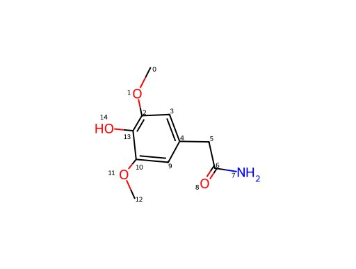 COc1cc(CC(N)=O)cc(OC)c1O